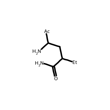 [CH2]CC(CC(N)C(C)=O)C(N)=O